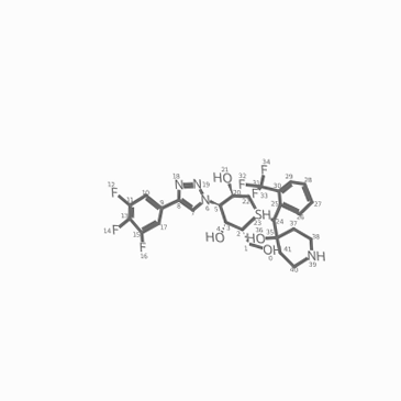 OC[C@@H]1[C@H](O)[C@@H](n2cc(-c3cc(F)c(F)c(F)c3)nn2)[C@@H](O)C[SH]1C(c1ccccc1C(F)(F)F)C1(O)CCNCC1